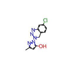 Cc1cc(O)n(N2Cc3ccc(Cl)cc3N=N2)n1